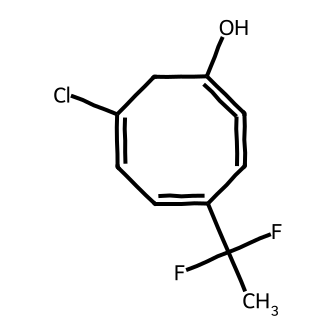 CC(F)(F)/C1=C/C=C(/Cl)CC(O)=C=C1